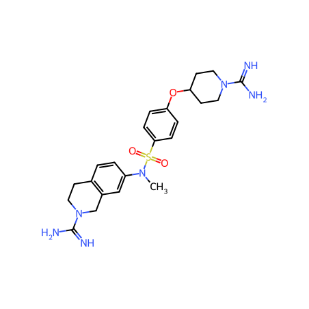 CN(c1ccc2c(c1)CN(C(=N)N)CC2)S(=O)(=O)c1ccc(OC2CCN(C(=N)N)CC2)cc1